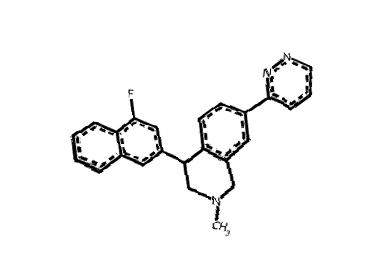 CN1Cc2cc(-c3cccnn3)ccc2C(c2cc(F)c3ccccc3c2)C1